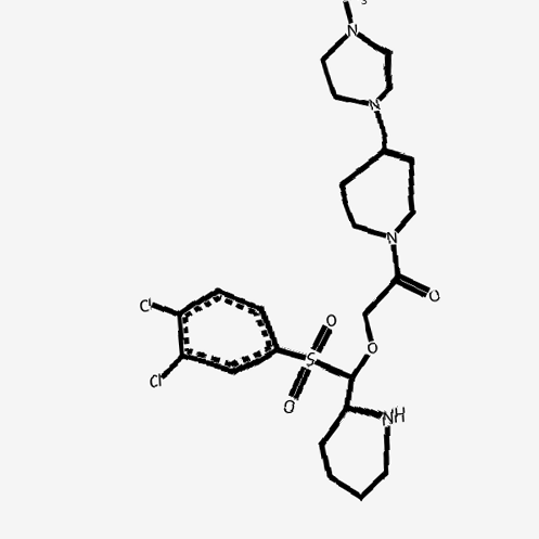 CN1CCN(C2CCN(C(=O)COC(C3CCCCN3)S(=O)(=O)c3ccc(Cl)c(Cl)c3)CC2)CC1